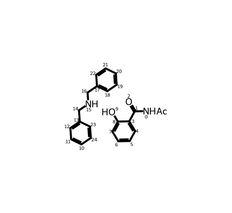 CC(=O)NC(=O)c1ccccc1O.c1ccc(CNCc2ccccc2)cc1